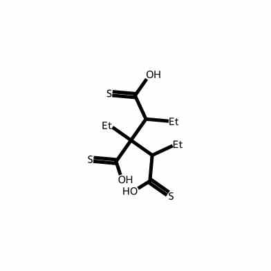 CCC(C(O)=S)C(CC)(C(O)=S)C(CC)C(O)=S